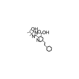 CC(C)C1(C)N=C(c2ncc(C=Cc3ccccc3)cc2C(=O)O)NC1=O